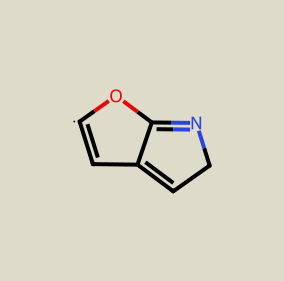 [c]1cc2c(o1)=NCC=2